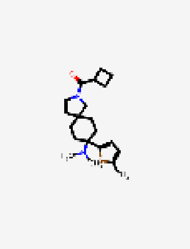 Cc1ccc(C2(N(C)C)CCC3(CCN(C(=O)C4CCC4)C3)CC2)s1